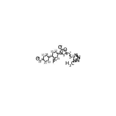 Cn1nnnc1SC[C@H]1CN(c2ccc(-c3ccc(C=O)cc3)c(F)c2)C(=O)O1